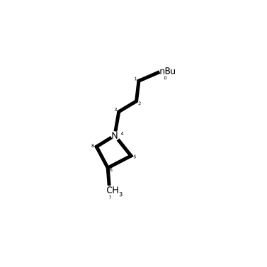 CCCCCCCN1CC(C)C1